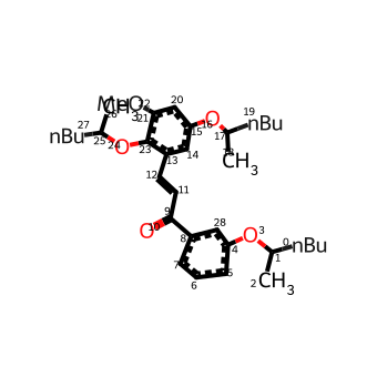 CCCCC(C)Oc1cccc(C(=O)C=Cc2cc(OC(C)CCCC)cc(OC)c2OC(C)CCCC)c1